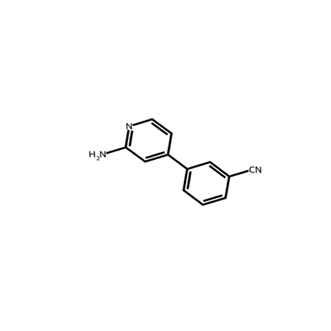 N#Cc1cccc(-c2ccnc(N)c2)c1